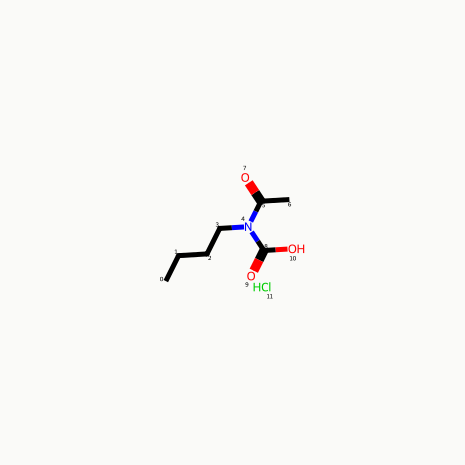 CCCCN(C(C)=O)C(=O)O.Cl